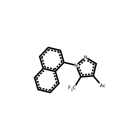 CC(=O)c1cnn(-c2cccc3ccccc23)c1C(F)(F)F